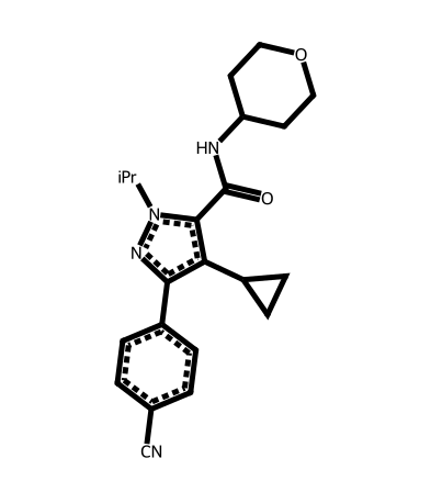 CC(C)n1nc(-c2ccc(C#N)cc2)c(C2CC2)c1C(=O)NC1CCOCC1